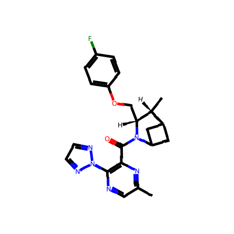 Cc1cnc(-n2nccn2)c(C(=O)N2C3CC(C3)[C@@H](C)[C@H]2COc2ccc(F)cc2)n1